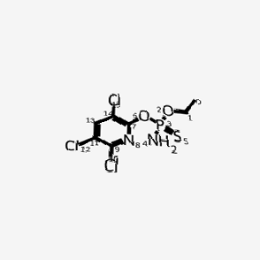 CCOP(N)(=S)Oc1nc(Cl)c(Cl)cc1Cl